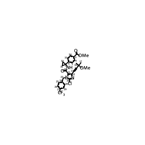 COC(=O)c1ccc(C2(NC(=O)c3c(C#CC(C)(C)OC)nc(Cl)n3Cc3ccc(C(F)(F)F)cc3)CC2)cc1